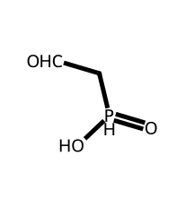 O=CC[PH](=O)O